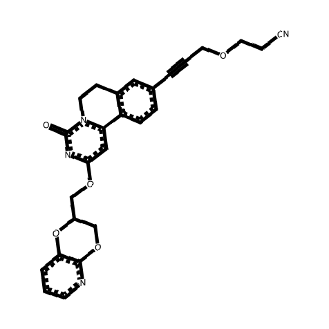 N#CCCOCC#Cc1ccc2c(c1)CCn1c-2cc(OCC2COc3ncccc3O2)nc1=O